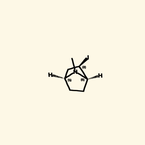 CN1[C@H]2CC[C@@H]1[C@H](I)C2